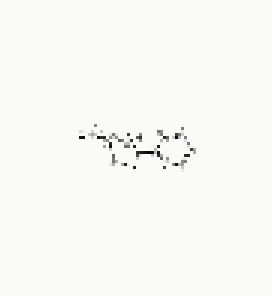 O=[C][C@@H]1CCC(c2ccccc2)N1